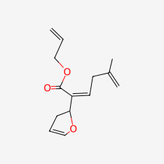 C=CCOC(=O)C(=CCC(=C)C)C1CC=CO1